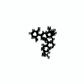 CCN(C[C@@]12CC[C@@H](c3cc(-c4c(F)cccc4F)nnc31)C2(C)C)C(=O)c1cnc(N)cn1